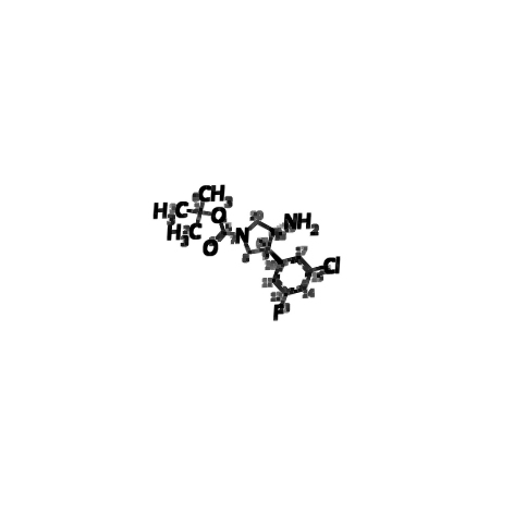 CC(C)(C)OC(=O)N1C[C@H](c2cc(F)cc(Cl)c2)[C@@H](N)C1